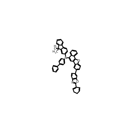 CC1(C)c2ccccc2-c2ccc(N(c3ccc(-c4ccccc4)cc3)c3cc4c5cc(-c6ccc7nc(C8=CCCC=C8)oc7c6)ccc5oc4c4ccccc34)cc21